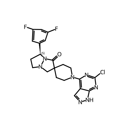 O=C1N2[C@H](c3cc(F)cc(F)c3)CCN2CC12CCN(c1nc(Cl)nc3[nH]ncc13)CC2